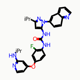 CC(C)Nc1cc(Oc2ccc(NC(=O)Nc3cc(C(C)C)nn3-c3ccc4ncccc4c3)c(F)c2)ccn1